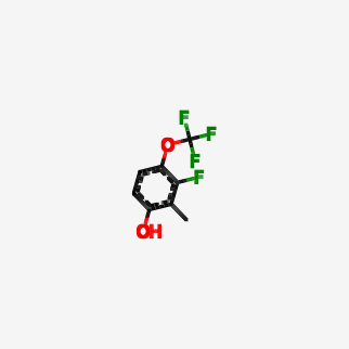 Cc1c(O)ccc(OC(F)(F)F)c1F